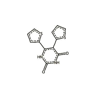 O=c1[nH]c(-c2cccs2)c(-c2cccs2)c(=O)[nH]1